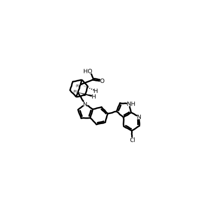 O=C(O)[C@@H]1C2CCC(CC2)[C@H]1n1ccc2ccc(-c3c[nH]c4ncc(Cl)cc34)cc21